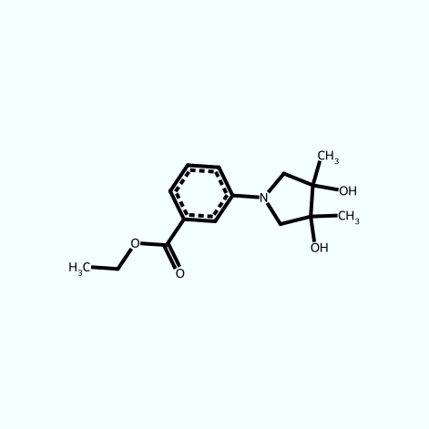 CCOC(=O)c1cccc(N2CC(C)(O)C(C)(O)C2)c1